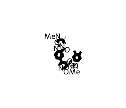 CNC(=O)[C@H](C)Cn1cnc2ccc(-c3cnc(OC)c(NS(=O)(=O)c4ccc(C)c(C)c4)c3)cc2c1=O